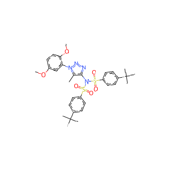 COc1ccc(OC)c(-n2nnc(N(S(=O)(=O)c3ccc(C(C)(C)C)cc3)S(=O)(=O)c3ccc(C(C)(C)C)cc3)c2C)c1